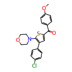 COc1ccc(C(=O)c2cc(-c3ccc(Cl)cc3)c(N3CCOCC3)s2)cc1